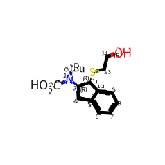 CC(C)(C)N(C(=O)O)[C@@H]1Cc2ccccc2[C@H]1SCCO